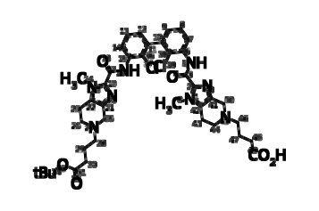 Cn1c(C(=O)Nc2cccc(-c3cccc(NC(=O)c4nc5c(n4C)CCN(CCCC(=O)OC(C)(C)C)C5)c3Cl)c2Cl)nc2c1CCN(CCCC(=O)O)C2